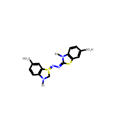 CCN1CS(=NN=c2sc3cc(S(=O)(=O)O)ccc3n2CC)c2cc(S(=O)(=O)O)ccc21